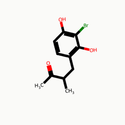 CC(=O)C(C)Cc1ccc(O)c(Br)c1O